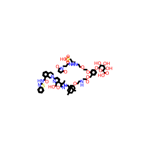 Cc1c(-c2ccc(N3CCc4cccc(C(=O)Nc5nc6ccccc6s5)c4C3)nc2C(=O)O)cnn1CC12CC3(C)CC(C)(C1)CC(OCCNCC(=O)OCc1ccc(O[C@@H]4O[C@H](C(=O)O)[C@@H](O)[C@H](O)[C@H]4O)cc1OCCOCCNC[C@H](CS(=O)(=O)O)NCCCN1C(=O)C=CC1=O)(C3)C2